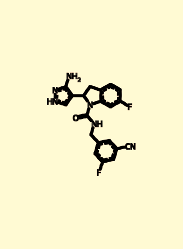 N#Cc1cc(F)cc(CNC(=O)N2c3cc(F)ccc3CC2c2c[nH]nc2N)c1